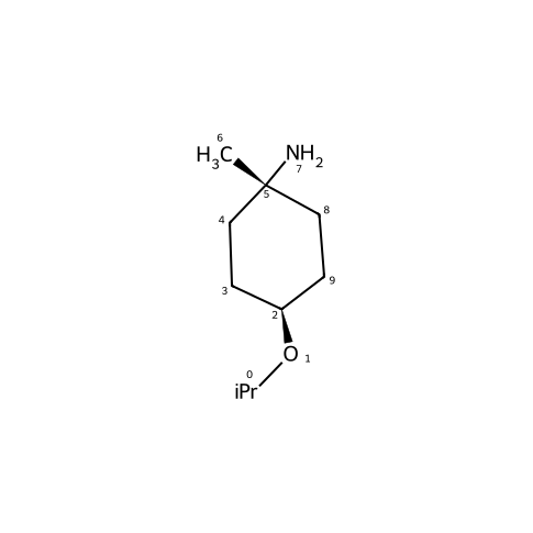 CC(C)O[C@H]1CC[C@](C)(N)CC1